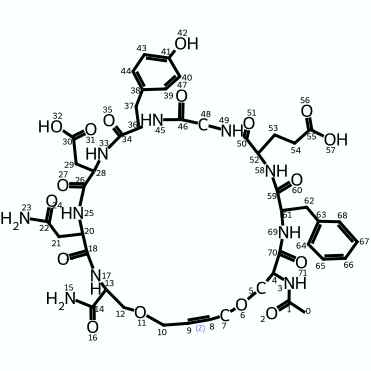 CC(=O)NC1COC/C=C\COCC(C(N)=O)NC(=O)C(CC(N)=O)NC(=O)C(CC(=O)O)NC(=O)C(Cc2ccc(O)cc2)NC(=O)CNC(=O)C(CCC(=O)O)NC(=O)C(Cc2ccccc2)NC1=O